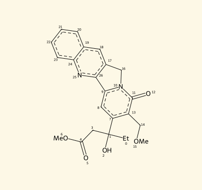 CCC(O)(CC(=O)OC)c1cc2n(c(=O)c1COC)Cc1cc3ccccc3nc1-2